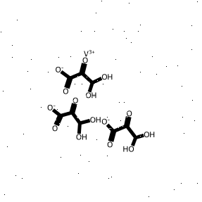 O=C([O-])C(=O)C(O)O.O=C([O-])C(=O)C(O)O.O=C([O-])C(=O)C(O)O.[V+3]